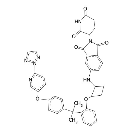 CC(C)(c1ccc(Oc2ccc(-n3nccn3)nc2)cc1)c1ccccc1OC1CCC1Nc1ccc2c(c1)C(=O)N(C1CCC(=O)NC1=O)C2=O